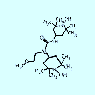 COCCN(C(=O)NC1CC(C)(C)N(O)C(C)(C)C1)C1CC(C)(C)N(O)C(C)(C)C1